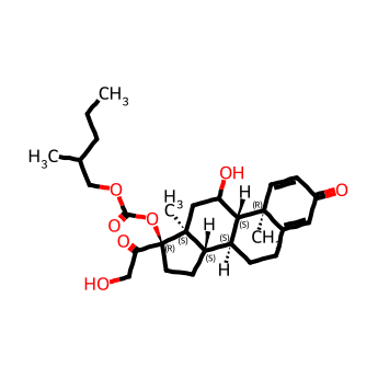 CCCC(C)COC(=O)O[C@]1(C(=O)CO)CC[C@H]2[C@@H]3CCC4=CC(=O)C=C[C@]4(C)[C@H]3C(O)C[C@@]21C